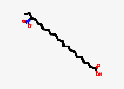 CCC(=CCC=CCC=CCC=CCC=CCC=CCCC(=O)O)[N+](=O)[O-]